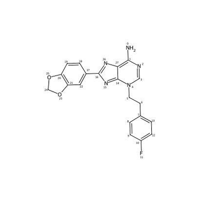 Nc1ncn(CCc2ccc(F)cc2)c2nc(-c3ccc4c(c3)OCO4)nc1-2